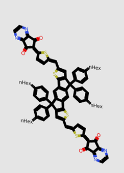 CCCCCCc1ccc(C2(c3ccc(CCCCCC)cc3)c3cc4c(cc3-c3sc(/C=c5\ccc(=C6C(=O)c7nccnc7C6=O)s5)cc32)C(c2ccc(CCCCCC)cc2)(c2ccc(CCCCCC)cc2)c2cc(/C=c3\ccc(=C5C(=O)c6nccnc6C5=O)s3)sc2-4)cc1